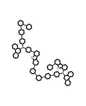 c1ccc(-c2ccccc2-c2ccc(-c3ccc(N(c4ccc(-c5cccc6c5oc5cc(-c7cccc(-c8cccc(-c9ccc(-c%10ccc(N(c%11cc%12ccccc%12c%12ccccc%11%12)c%11cccc%12c%11oc%11c(-c%13ccccc%13)cccc%11%12)cc%10)cc9)c8)c7)ccc56)cc4)c4cc5ccccc5c5ccccc45)cc3)cc2)cc1